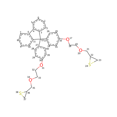 c1ccc2c(c1)-c1ccccc1C2(c1ccc(OCCOCC2CS2)cc1)c1ccc(OCCOCC2CS2)cc1